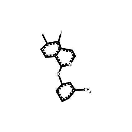 Cc1ccc2c(Oc3cccc(C(F)(F)F)c3)nccc2c1I